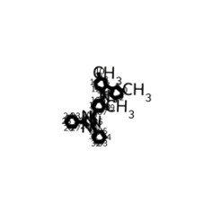 Cc1ccc2c(c1)c1cc(C)ccc1n2-c1ccc(-c2nc(-c3ccccc3)nc(-c3ccccc3)n2)cc1C